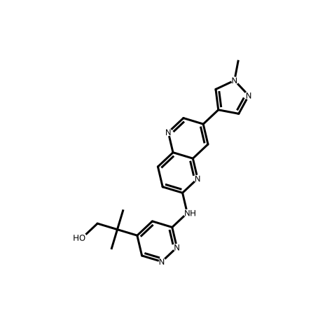 Cn1cc(-c2cnc3ccc(Nc4cc(C(C)(C)CO)cnn4)nc3c2)cn1